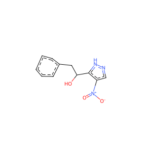 O=[N+]([O-])c1cn[nH]c1C(O)Cc1ccccc1